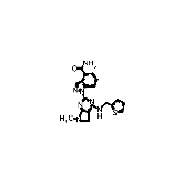 CN1CCc2c(NCc3cccs3)nc(-n3ncc4c(C(N)=O)cccc43)nc21